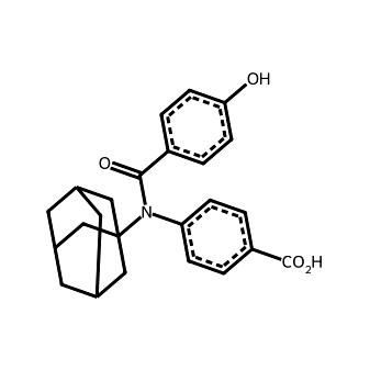 O=C(O)c1ccc(N(C(=O)c2ccc(O)cc2)C23CC4CC(CC(C4)C2)C3)cc1